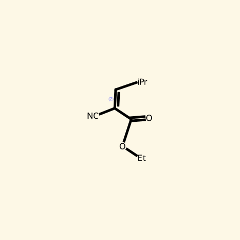 CCOC(=O)/C(C#N)=C\C(C)C